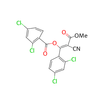 COC(=O)C(C#N)=C(OC(=O)c1ccc(Cl)cc1Cl)c1ccc(Cl)cc1Cl